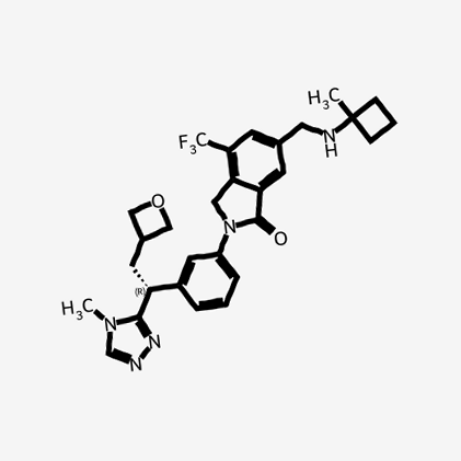 Cn1cnnc1[C@H](CC1COC1)c1cccc(N2Cc3c(cc(CNC4(C)CCC4)cc3C(F)(F)F)C2=O)c1